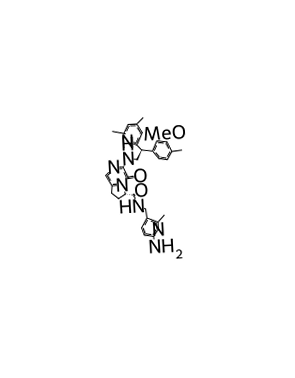 COc1cc(C)ccc1[C@@H](CNc1ncc2n(c1=O)[C@H](C(=O)NCc1ccc(N)nc1C)CC2)c1cc(C)cc(C)n1